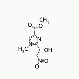 COC(=O)c1cn(C)c(C(O)C[N+](=O)[O-])n1